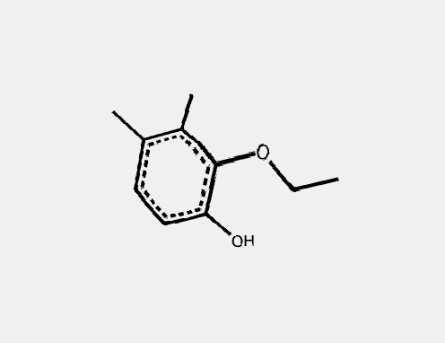 CCOc1c(O)ccc(C)c1C